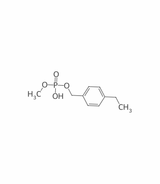 CCc1ccc(COP(=O)(O)OC)cc1